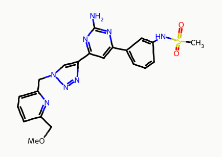 COCc1cccc(Cn2cc(-c3cc(-c4cccc(NS(C)(=O)=O)c4)nc(N)n3)nn2)n1